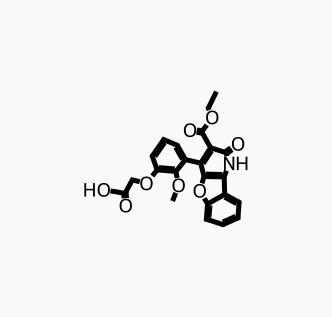 CCOC(=O)c1c(-c2cccc(OCC(=O)O)c2OC)c2oc3ccccc3c2[nH]c1=O